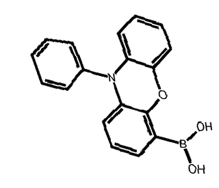 OB(O)c1cccc2c1Oc1ccccc1N2c1ccccc1